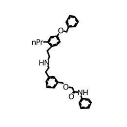 CCCc1cc(OCc2ccccc2)ccc1CCNCCc1cccc(COCC(=O)Nc2ccccc2)c1